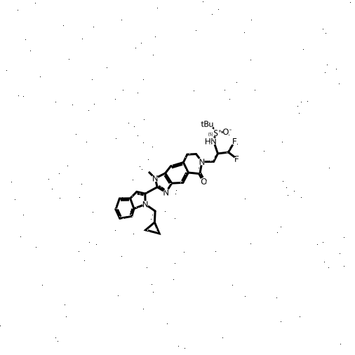 Cn1c(-c2cc3ccccc3n2CC2CC2)nc2cc3c(cc21)CCN(CC(N[S@+]([O-])C(C)(C)C)C(F)F)C3=O